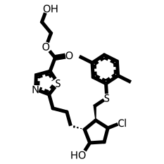 Cc1ccc(C)c(SC[C@H]2C(Cl)CC(O)[C@@H]2CCCc2ncc(C(=O)OCCO)s2)c1